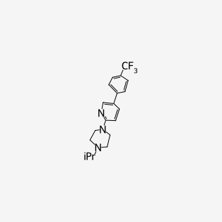 CC(C)N1CCN(c2ccc(-c3ccc(C(F)(F)F)cc3)cn2)CC1